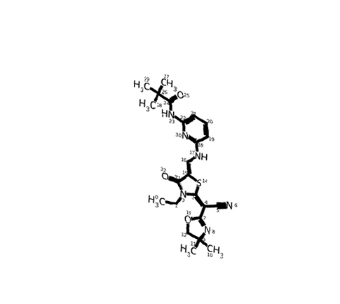 CCn1c(=C(C#N)C2=NC(C)(C)CO2)sc(=CNc2cccc(NC(=O)C(C)(C)C)n2)c1=O